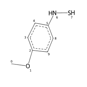 COc1ccc(NS)cc1